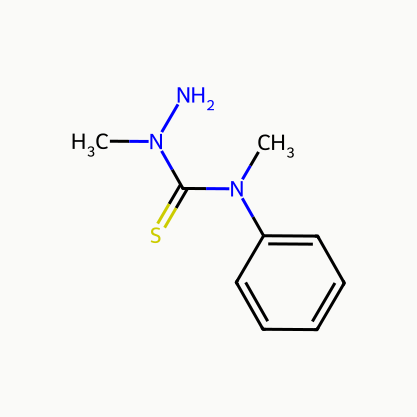 CN(N)C(=S)N(C)c1ccccc1